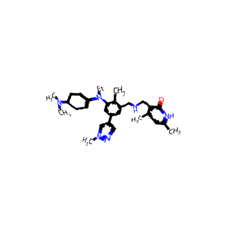 CCN(c1cc(-c2cnn(C)c2)cc(CNCc2c(C)cc(C)[nH]c2=O)c1C)C1CCC(N(C)C)CC1